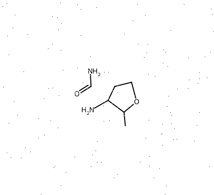 CC1OCCC1N.NC=O